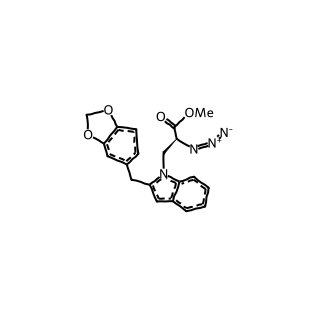 COC(=O)[C@H](Cn1c(Cc2ccc3c(c2)OCO3)cc2ccccc21)N=[N+]=[N-]